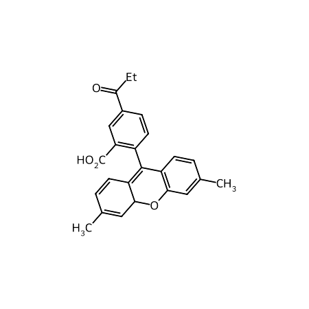 CCC(=O)c1ccc(C2=C3C=CC(C)=CC3Oc3cc(C)ccc32)c(C(=O)O)c1